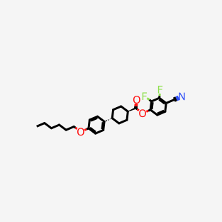 CCCCCCOc1ccc([C@H]2CC[C@H](C(=O)Oc3ccc(C#N)c(F)c3F)CC2)cc1